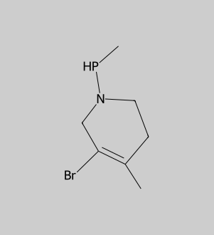 CPN1CCC(C)=C(Br)C1